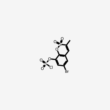 CC1=Cc2cc(Br)cc(OS(=O)(=O)Cl)c2OS1(=O)=O